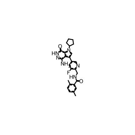 Cc1ccc(C)c(C(=O)NCc2ncc(-c3cn(C4CCCC4)c4c(=O)[nH]nc(N)c34)cc2F)c1